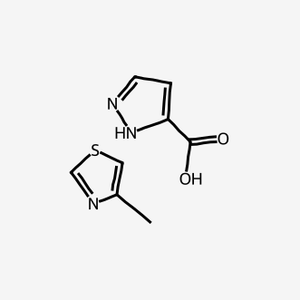 Cc1cscn1.O=C(O)c1ccn[nH]1